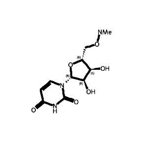 CNOC[C@H]1O[C@@H](n2ccc(=O)[nH]c2=O)[C@H](O)[C@@H]1O